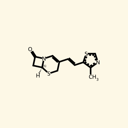 Cc1ncsc1C=CC1=CN2C(=O)C[C@@H]2SC1